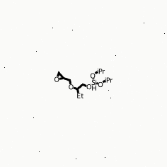 CCC(CO[SiH](OC(C)C)OC(C)C)OCC1CO1